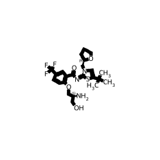 CC(C)(C)c1cn(C[C@H]2CCCO2)c(=NC(=O)c2cc(C(F)(F)F)ccc2OC[C@@H](N)CO)s1